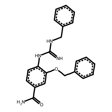 N=C(NCc1ccccc1)Nc1ccc(C(N)=O)cc1OCc1ccccc1